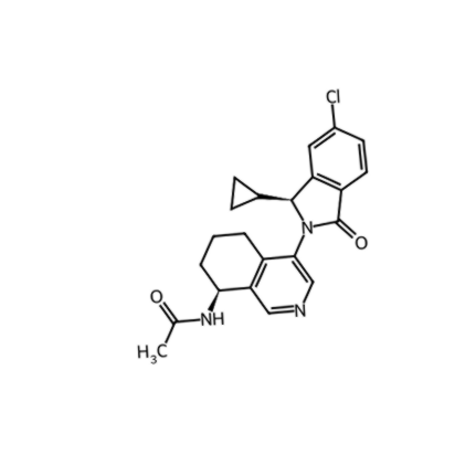 CC(=O)N[C@H]1CCCc2c1cncc2N1C(=O)c2ccc(Cl)cc2[C@@H]1C1CC1